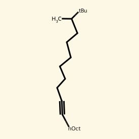 CCCCCCCCC#CCCCCCCC(C)C(C)(C)C